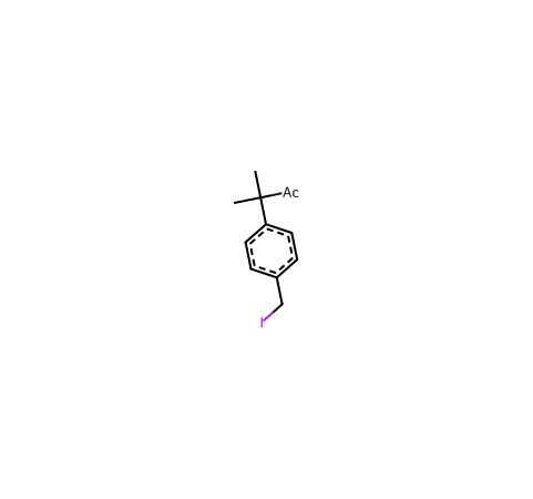 CC(=O)C(C)(C)c1ccc(CI)cc1